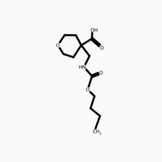 CCCCOC(=O)NCC1(C(=O)O)CCOCC1